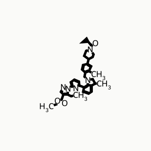 CCOC(=O)c1cnn(-c2cccc(-c3cccc4c3N(Cc3ccc(C5CCN(C(=O)C6CC6)CC5)cc3C)CC4C)n2)c1CC